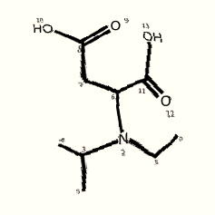 CCN(C(C)C)C(CC(=O)O)C(=O)O